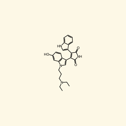 CCN(CC)CCCn1cc(C2=C(c3c[nH]c4ccccc34)C(=O)NC2=O)c2ccc(O)cc21